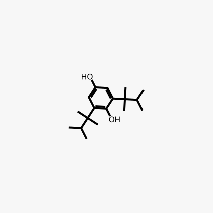 CC(C)C(C)(C)c1cc(O)cc(C(C)(C)C(C)C)c1O